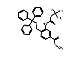 COC(=O)c1ccc(CSC(c2ccccc2)(c2ccccc2)c2ccccc2)c(NC(=O)OC(C)(C)C)c1